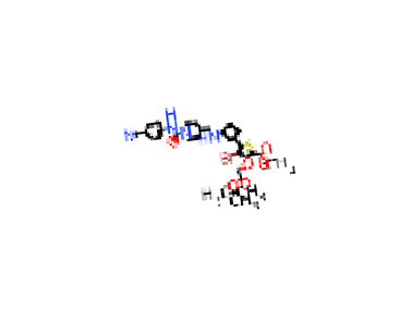 COC(=O)c1sc(-c2cccc(NCC3CCN(C(=O)Nc4ccc(C#N)cc4)CC3)c2)c(Br)c1OCC(=O)OC(C)(C)C